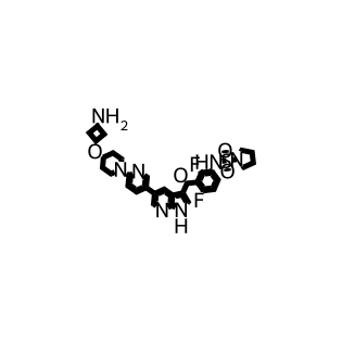 N[C@H]1C[C@H](OC2CCN(c3ccc(-c4cnc5[nH]cc(C(=O)c6c(F)ccc(NS(=O)(=O)N7CCCC7)c6F)c5c4)cn3)CC2)C1